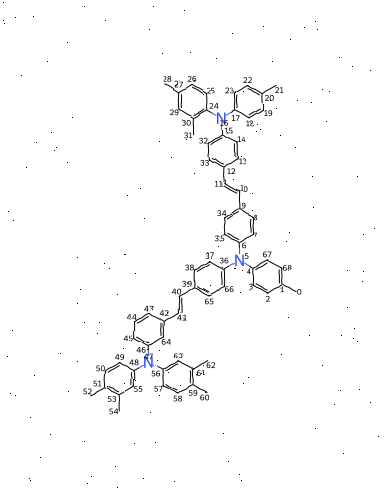 Cc1ccc(N(c2ccc(/C=C/c3ccc(N(c4ccc(C)cc4)c4ccc(C)cc4C)cc3)cc2)c2ccc(/C=C/c3cccc(N(c4ccc(C)c(C)c4)c4ccc(C)c(C)c4)c3)cc2)cc1